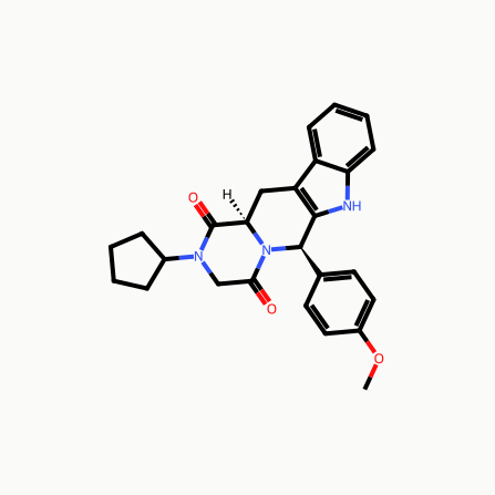 COc1ccc([C@@H]2c3[nH]c4ccccc4c3C[C@@H]3C(=O)N(C4CCCC4)CC(=O)N23)cc1